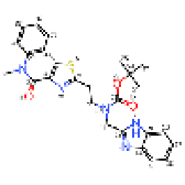 CN(C(=O)c1csc(CCN(Cc2nc3ccccc3[nH]2)C(=O)OC(C)(C)C)n1)c1ccccc1